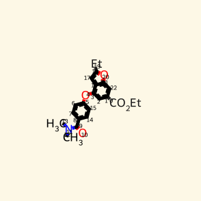 CCOC(=O)c1cc(Oc2ccc(C(=O)N(C)C)cc2)c2cc(CC)oc2c1